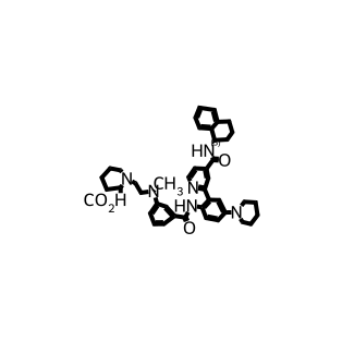 CN(CCN1CCCCC1C(=O)O)c1cccc(C(=O)Nc2ccc(N3CCCCC3)cc2-c2cc(C(=O)N[C@H]3CCCc4ccccc43)ccn2)c1